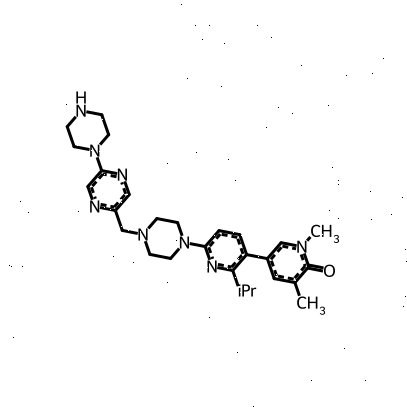 Cc1cc(-c2ccc(N3CCN(Cc4cnc(N5CCNCC5)cn4)CC3)nc2C(C)C)cn(C)c1=O